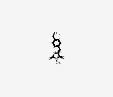 CCc1ccc(/C=C2\SC(=O)N(C)C2=O)cc1